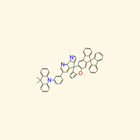 CC1(C)c2ccccc2N(c2cccc(-c3cnc4c(c3)C3(c5ccccc5Oc5cc6c(cc53)-c3ccccc3C63c5ccccc5-c5ccccc53)c3cccnc3-4)c2)c2ccccc21